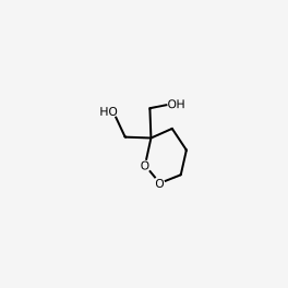 OCC1(CO)CCCOO1